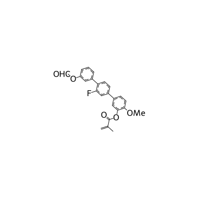 C=C(C)C(=O)Oc1cc(-c2ccc(-c3cccc(OC=O)c3)c(F)c2)ccc1OC